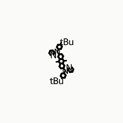 Cc1c2ccc(N(c3ccc(C(C)(C)C)cc3)c3ccccn3)cc2c(C)c2ccc(N(c3ccc(C(C)(C)C)cc3)c3ccccn3)cc12